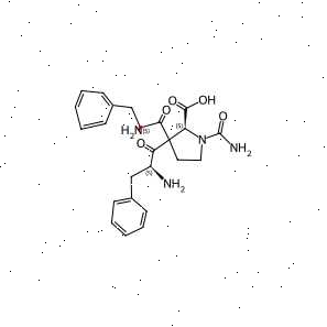 NC(=O)N1CCC(C(=O)[C@@H](N)Cc2ccccc2)(C(=O)[C@@H](N)Cc2ccccc2)[C@H]1C(=O)O